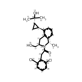 C[C@H]1c2cccc([C@H]3C[C@@H]3C(C)(C)O)c2C[C@H](CO)N1C(=O)Cc1c(Cl)cccc1Cl